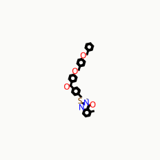 Cc1cccc2nc(SCc3ccc(C(=O)c4ccc(OCc5ccc(OCc6ccccc6)cc5)cc4)cc3)n(C)c(=O)c12